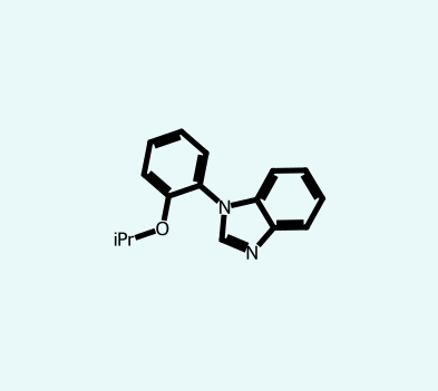 CC(C)Oc1ccccc1-n1cnc2ccccc21